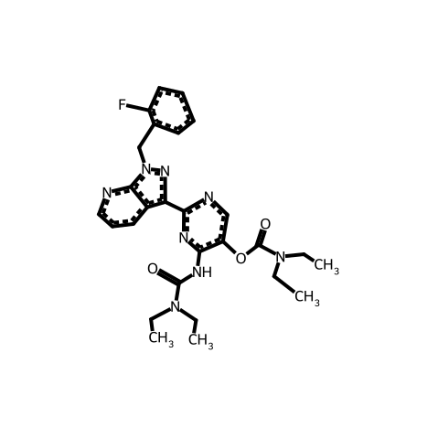 CCN(CC)C(=O)Nc1nc(-c2nn(Cc3ccccc3F)c3ncccc23)ncc1OC(=O)N(CC)CC